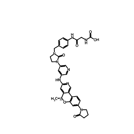 C[C@@H]1Oc2cc(N3CCCC3=O)ccc2-c2cnc(Nc3cncc(N4CCN(Cc5ccc(NC(=O)CNC(=O)O)cc5)C4=O)c3)cc21